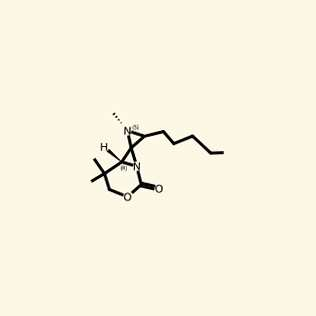 CCCCCC1[N@@](C)C12[C@@H]1N2C(=O)OCC1(C)C